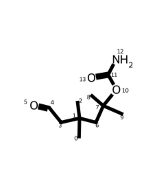 CC(C)(CC=O)CC(C)(C)OC(N)=O